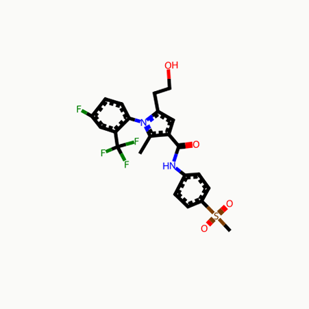 Cc1c(C(=O)Nc2ccc(S(C)(=O)=O)cc2)cc(CCO)n1-c1ccc(F)cc1C(F)(F)F